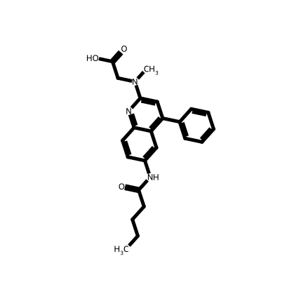 CCCCC(=O)Nc1ccc2nc(N(C)CC(=O)O)cc(-c3ccccc3)c2c1